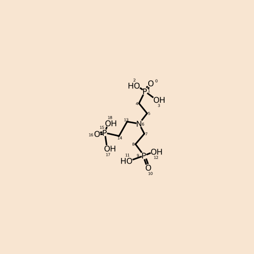 O=P(O)(O)CCN(CCP(=O)(O)O)CCP(=O)(O)O